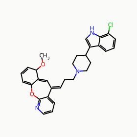 COC1C=CC=C2Oc3ncccc3C(=CCCN3CCC(c4c[nH]c5c(Cl)cccc45)CC3)C=C21